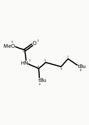 COC(=O)NC(CCCC(C)(C)C)C(C)(C)C